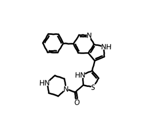 O=C(C1NC(c2c[nH]c3ncc(-c4ccccc4)cc23)=CS1)N1CCNCC1